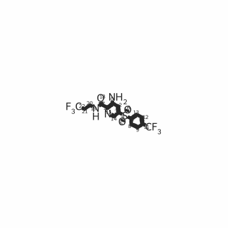 Nc1cc(S(=O)(=O)c2ccc(C(F)(F)F)cc2)cnc1C(=O)NCCC(F)(F)F